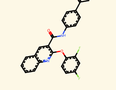 CC(=O)c1ccc(NC(=O)c2cc3ccccc3nc2Oc2ccc(F)cc2F)cc1